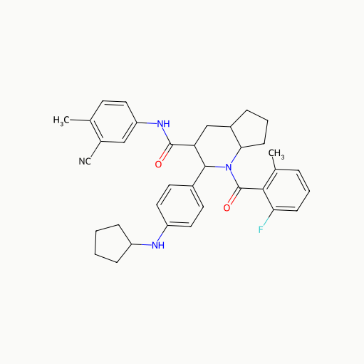 Cc1ccc(NC(=O)C2CC3CCCC3N(C(=O)c3c(C)cccc3F)C2c2ccc(NC3CCCC3)cc2)cc1C#N